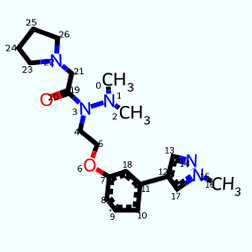 CN(C)N(CCOc1c[c]cc(-c2cnn(C)c2)c1)C(=O)CN1CCCC1